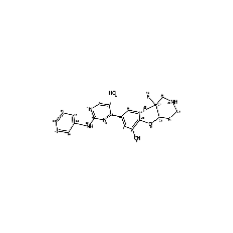 Cl.N#Cc1cc(-c2ccnc(Nc3ccccc3)n2)ccc1OC1CCNCC1(F)F